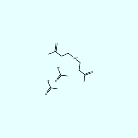 CC(=O)C[CH2][Sn+2][CH2]CC(C)=O.CC(=O)[O-].CC(=O)[O-]